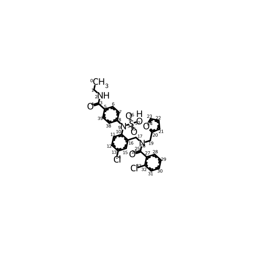 CCNC(=O)c1ccc(N(c2ccc(Cl)cc2CN(Cc2ccco2)C(=O)c2ccccc2Cl)S(=O)(=O)O)cc1